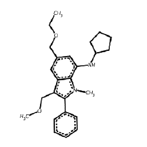 CCOCc1cc(NC2CCCC2)c2c(c1)c(COC)c(-c1ccccc1)n2C